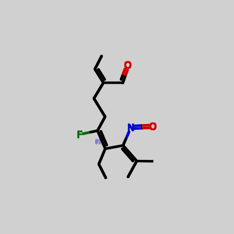 CC=C(C=O)CC/C(F)=C(/CC)C(N=O)=C(C)C